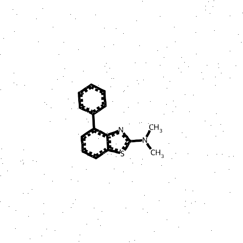 CN(C)c1nc2c(-c3ccccc3)cccc2s1